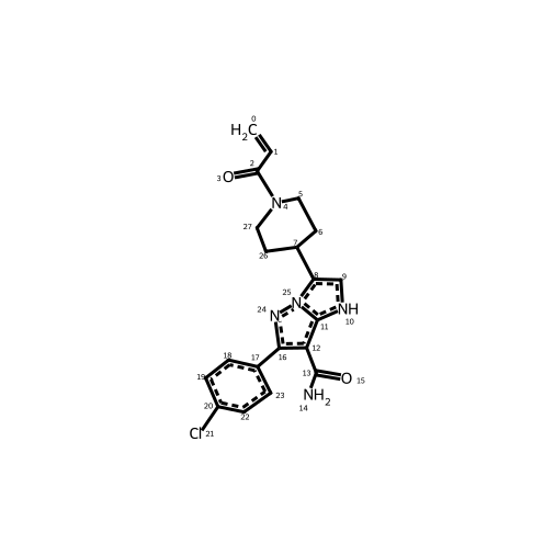 C=CC(=O)N1CCC(c2c[nH]c3c(C(N)=O)c(-c4ccc(Cl)cc4)nn23)CC1